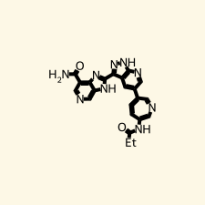 CCC(=O)NC1=CN=CC(c2cnc3[nH]nc(-c4nc5c(C(N)=O)cncc5[nH]4)c3c2)=C=C1